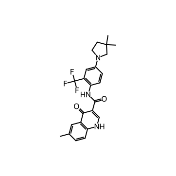 Cc1ccc2[nH]cc(C(=O)Nc3ccc(N4CCC(C)(C)C4)cc3C(F)(F)F)c(=O)c2c1